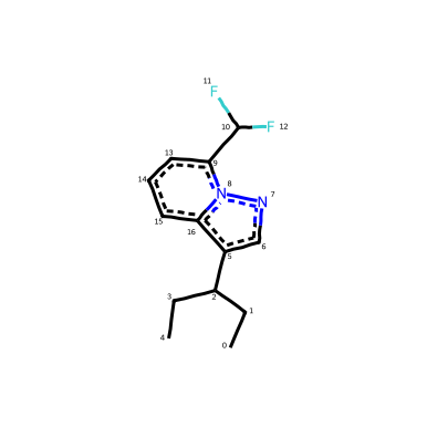 CCC(CC)c1cnn2c(C(F)F)cccc12